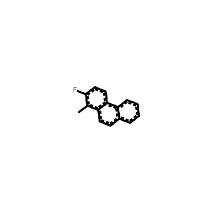 Cc1c(F)ccc2c1ccc1ccccc12